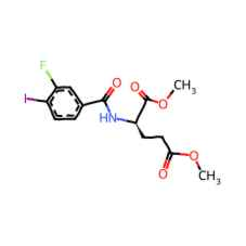 COC(=O)CC[C@@H](NC(=O)c1ccc(I)c(F)c1)C(=O)OC